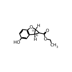 CCOC(=O)C1[C@H]2Oc3ccc(O)cc3[C@@H]12